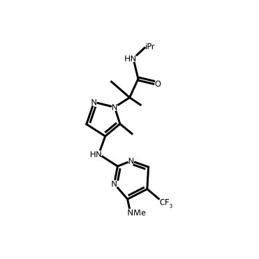 CNc1nc(Nc2cnn(C(C)(C)C(=O)NC(C)C)c2C)ncc1C(F)(F)F